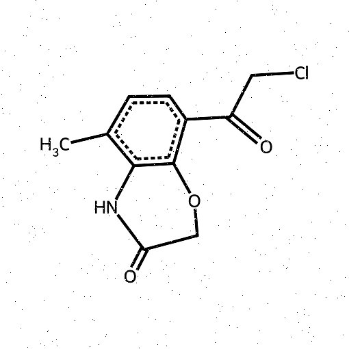 Cc1ccc(C(=O)CCl)c2c1NC(=O)CO2